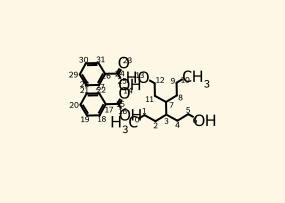 CCCC(CCO)C(CCC)CCO.O=C(O)c1ccccc1.O=C(O)c1ccccc1